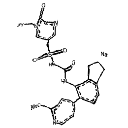 COc1cc(-c2ccc3c(c2NC(=O)NS(=O)(=O)c2cnc(=O)n(C(C)C)c2)CCC3)ccn1.[Na]